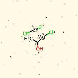 C[CH](O)[Mg][Cl].[Cl][Zn][Cl]